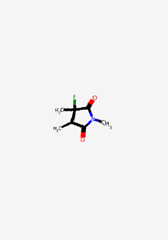 CC1C(=O)N(C)C(=O)C1(C)F